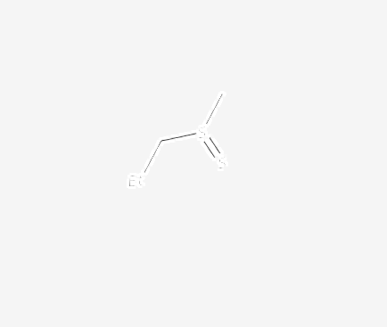 CCCS(C)=S